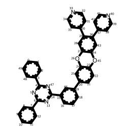 c1ccc(-c2nc(-c3ccccc3)nc(-c3cccc(-c4ccc5c(c4)Oc4cc(-c6ccncc6)c(-c6ccncc6)cc4O5)c3)n2)cc1